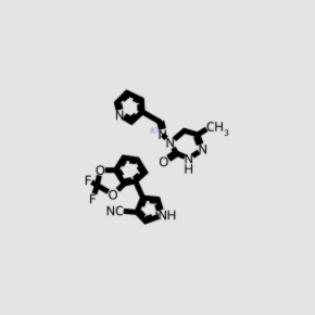 CC1=NNC(=O)N(/N=C/c2cccnc2)C1.N#Cc1c[nH]cc1-c1cccc2c1OC(F)(F)O2